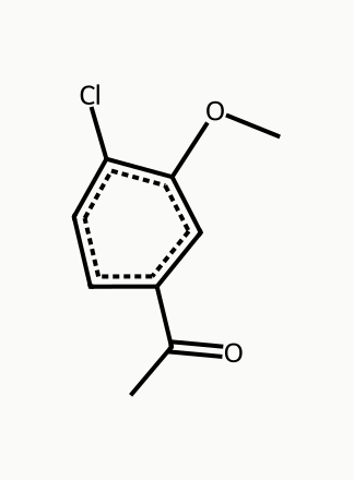 COc1cc(C(C)=O)ccc1Cl